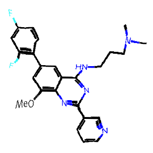 COc1cc(-c2ccc(F)cc2F)cc2c(NCCCN(C)C)nc(-c3cccnc3)nc12